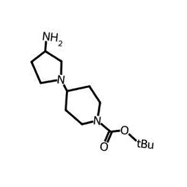 CC(C)(C)OC(=O)N1CCC(N2CCC(N)C2)CC1